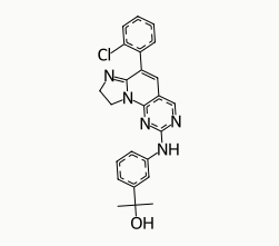 CC(C)(O)c1cccc(Nc2ncc3c(n2)N2CCN=C2C(c2ccccc2Cl)=C3)c1